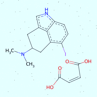 CN(C)C1Cc2c[nH]c3ccc(I)c(c23)C1.O=C(O)/C=C\C(=O)O